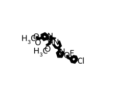 COCCn1c(CN2CCC(c3cccc(OCc4ccc(Cl)cc4F)n3)CC2)nc2ccc(C(=O)OC)cc21